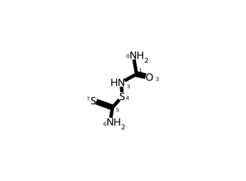 NC(=O)NSC(N)=S